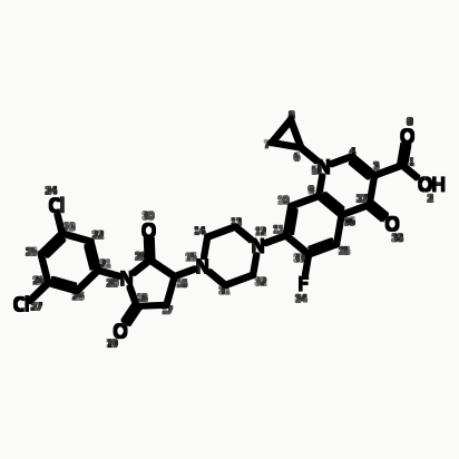 O=C(O)c1cn(C2CC2)c2cc(N3CCN(C4CC(=O)N(c5cc(Cl)cc(Cl)c5)C4=O)CC3)c(F)cc2c1=O